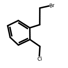 ClCc1ccccc1CCBr